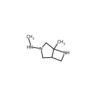 CNN1CC2CNC2(C)C1